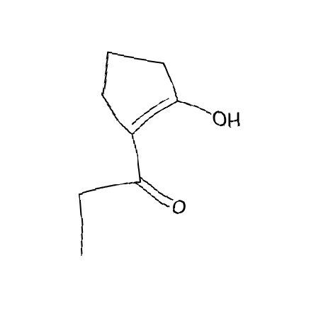 CCC(=O)C1=C(O)CCC1